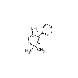 CC1(C)OC[C@@H](N)[C@@H](c2ccccc2)O1